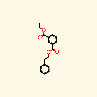 CCOC(=O)c1cccc(C(=O)OCCc2ccccc2)c1